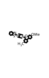 COc1ccc(-c2ccc(C)cc2C(=O)N2CC3CC(C2)CN(c2nc4ccccc4s2)C3)cc1